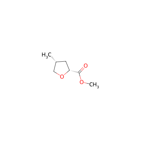 COC(=O)[C@H]1C[C@@H](C)CO1